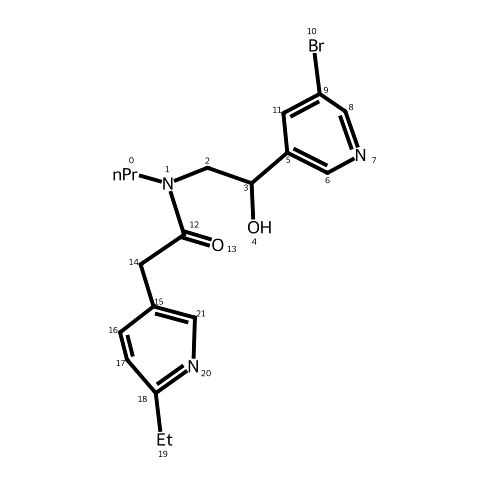 CCCN(CC(O)c1cncc(Br)c1)C(=O)Cc1ccc(CC)nc1